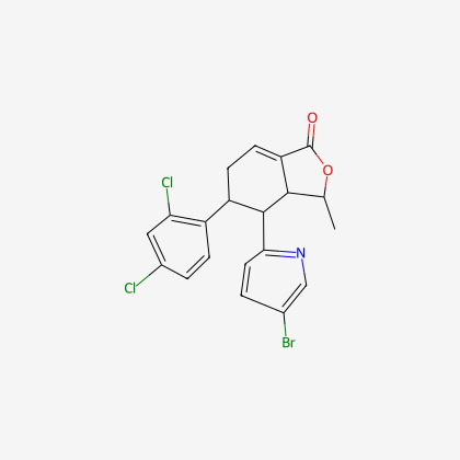 CC1OC(=O)C2=CCC(c3ccc(Cl)cc3Cl)C(c3ccc(Br)cn3)C21